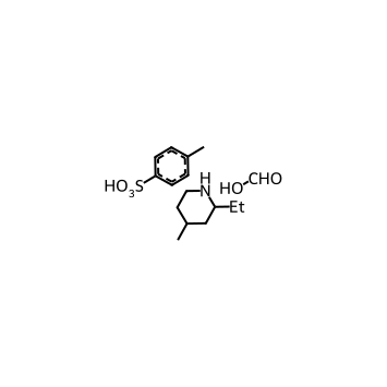 CCC1CC(C)CCN1.Cc1ccc(S(=O)(=O)O)cc1.O=CO